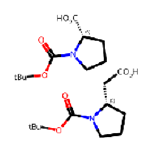 CC(C)(C)OC(=O)N1CCC[C@H]1C(=O)O.CC(C)(C)OC(=O)N1CCC[C@H]1CC(=O)O